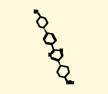 CCCC[C@H]1CC[C@H](c2cnc(-c3ccc([C@H]4CC[C@H](CC)CC4)cc3)nc2)CC1